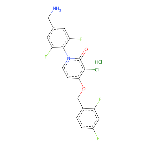 Cl.NCc1cc(F)c(-n2ccc(OCc3ccc(F)cc3F)c(Cl)c2=O)c(F)c1